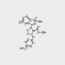 CC(C)(C)OC(=O)N1C(C(O[Si](C)(C)C(C)(C)C)c2ccc[n+]([O-])c2)CC[C@@H]1Cc1ccc(C(=O)O)cc1